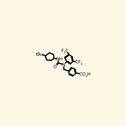 CC(C)(C)C1CCC(NC(=O)N(Cc2ccc(C(=O)O)cc2)c2cc(C(F)(F)F)cc(C(F)(F)F)c2)CC1